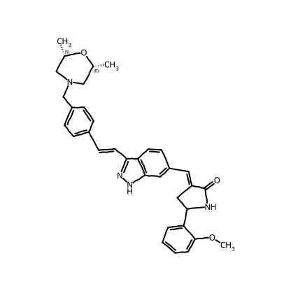 COc1ccccc1C1CC(=Cc2ccc3c(C=Cc4ccc(CN5C[C@@H](C)O[C@@H](C)C5)cc4)n[nH]c3c2)C(=O)N1